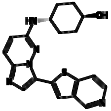 O[C@H]1CC[C@H](Nc2ccc3ncc(-c4cc5cnccc5s4)n3n2)CC1